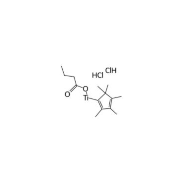 CCCC(=O)[O][Ti][C]1=C(C)C(C)=C(C)C1(C)C.Cl.Cl